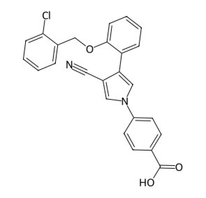 N#Cc1cn(-c2ccc(C(=O)O)cc2)cc1-c1ccccc1OCc1ccccc1Cl